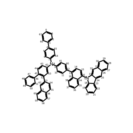 c1ccc(-c2ccc(N(c3ccc(-c4ccc(-n5c6ccccc6c6cc7ccccc7cc65)c5ccccc45)cc3)c3ccc(-c4ccccc4)c(-c4ccc5ccccc5c4)c3)cc2)cc1